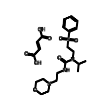 CC(C)N(CCS(=O)(=O)c1ccccc1)C(=O)NCCN1CCOCC1.O=C(O)C=CC(=O)O